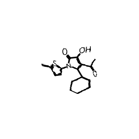 CC(=O)C1=C(O)C(=O)N(c2ccc(C)s2)C1C1CCCCC1